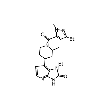 CCc1cc(C(=O)N2CCC(c3ccnc4[nH]c(=O)n(CC)c34)CC2C)n(C)n1